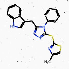 Cc1csc(Sc2nnc(Cc3c[nH]c4ccccc34)n2-c2ccccc2)n1